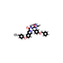 CCCN(C(=O)c1cc2cc(Oc3ccc(C(C)(C)C)cc3)ccc2cn1)[C@@H](Cc1ccc(OCc2ccccc2)cc1)c1nc(C)no1